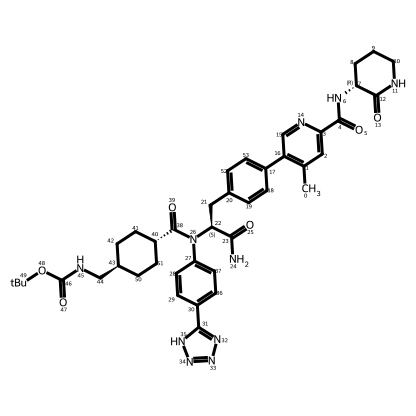 Cc1cc(C(=O)N[C@@H]2CCCNC2=O)ncc1-c1ccc(C[C@@H](C(N)=O)N(c2ccc(-c3nnn[nH]3)cc2)C(=O)[C@H]2CC[C@H](CNC(=O)OC(C)(C)C)CC2)cc1